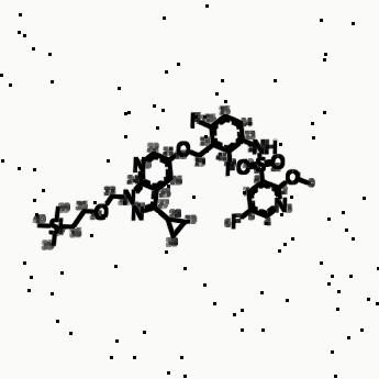 COc1ncc(F)cc1S(=O)(=O)Nc1ccc(F)c(COc2cnc3c(c2)c(C2CC2)nn3COCC[Si](C)(C)C)c1F